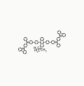 CC(C)(C)c1ccc2c(-c3ccc(-c4ccc(N(c5ccccc5)c5ccc(-n6c7ccccc7c7ccccc76)cc5)cc4)cc3)c3ccccc3c(-c3ccc(-c4ccc(N(c5ccccc5)c5ccc(-n6c7ccccc7c7ccccc76)cc5)cc4)cc3)c2c1